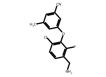 Cc1cc(C#N)cc(Oc2c(Cl)ccc(CN)c2F)c1